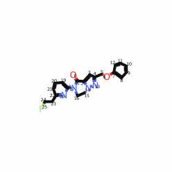 O=C1c2cc(COc3ccccc3)nn2CCN1c1cccc(CCF)n1